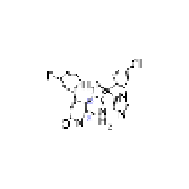 C=C(/C=c1/c(-c2cccc(F)c2)cc(=O)n(C)/c1=C/N)[C@](N)(c1ccc(Cl)cc1)c1cncn1C